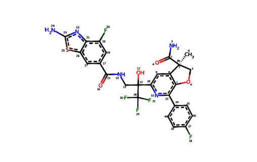 C[C@]1(C(N)=O)COc2c1cc(C(O)(CNC(=O)c1cc(F)c3nc(N)sc3c1)C(F)(F)F)nc2-c1ccc(F)cc1